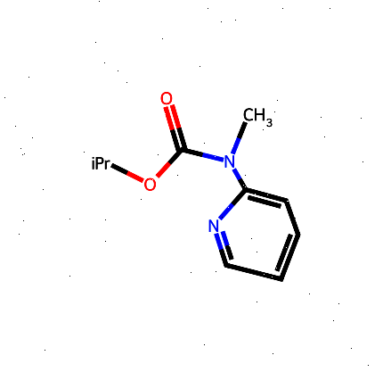 CC(C)OC(=O)N(C)c1ccccn1